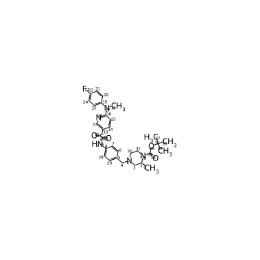 C[C@H]1CN(Cc2ccc(NS(=O)(=O)c3ccc(N(C)c4ccc(F)cc4)nc3)cc2)CCN1C(=O)OC(C)(C)C